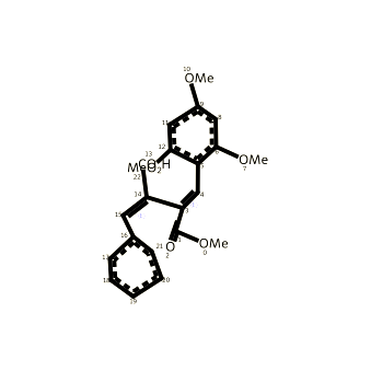 COC(=O)C(=C/c1c(OC)cc(OC)cc1OC)/C(=C\c1ccccc1)C(=O)O